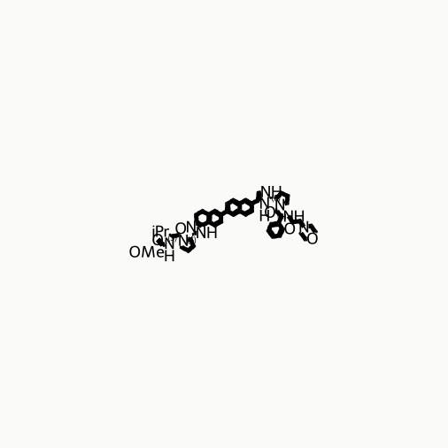 COC(=O)N[C@H](C(=O)N1CCC[C@H]1c1nc2c([nH]1)-c1ccc(-c3ccc4cc(C5=CNC([C@@H]6CCCN6C(=O)[C@H](NC(=O)CN6CCOCC6)c6ccccc6)N5)ccc4c3)cc1CC2)C(C)C